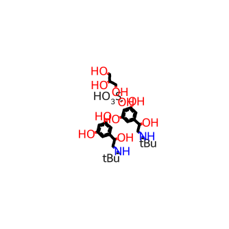 CC(C)(C)NCC(O)c1cc(O)cc(O)c1.CC(C)(C)NCC(O)c1cc(O)cc(O)c1.O=S(=O)(O)O.OCC(O)CO